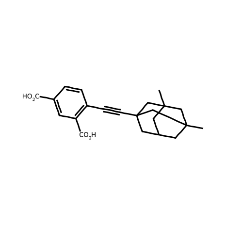 CC12CC3CC(C)(C1)CC(C#Cc1ccc(C(=O)O)cc1C(=O)O)(C3)C2